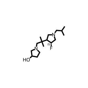 CC(C)CN1CC(C(C)(C)CN2CCC(O)C2)[C@H](F)C1